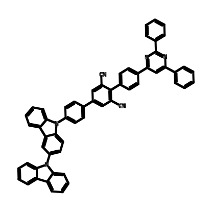 N#Cc1cc(-c2ccc(-n3c4ccccc4c4cc(-n5c6ccccc6c6ccccc65)ccc43)cc2)cc(C#N)c1-c1ccc(-c2cc(-c3ccccc3)nc(-c3ccccc3)n2)cc1